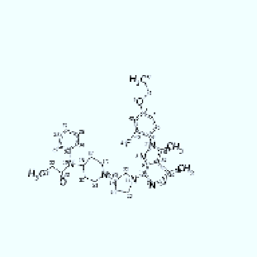 CCOc1ccc(-n2nc3c(N4CC[C@H](N5CCC(N(C(=O)CC)c6ccccc6)CC5)C4)nnc(C)c3c2C)c(F)c1